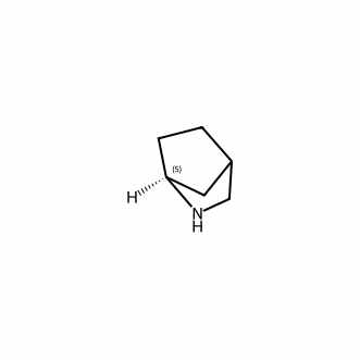 C1C[C@H]2CC1CN2